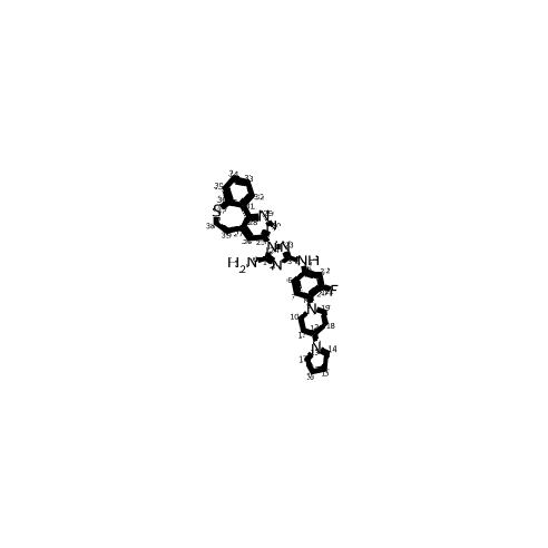 Nc1nc(Nc2ccc(N3CCC(N4CCCC4)CC3)c(F)c2)nn1-c1cc2c(nn1)-c1ccccc1SCC2